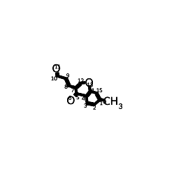 Cc1ccc2c(=O)c(C=CC=O)coc2c1